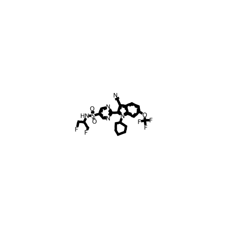 N#Cc1c(-c2ncc(S(=O)(=O)NC(CF)CF)cn2)n(C2CCCCC2)c2cc(OC(F)(F)F)ccc12